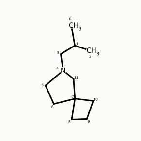 CC(C)CN1CCC2(CCC2)C1